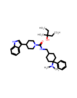 CN(C)C1(c2ccccc2)CCC(CNC(=O)N2CCC(c3c[nH]c4ccccc34)CC2)CC1.O=C(O)CC(O)(CC(=O)O)C(=O)O